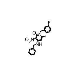 Cc1cc(NCc2ccccc2)c([N+](=O)[O-])c(=O)n1Cc1cccc(F)c1